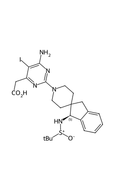 CC(C)(C)[S+]([O-])N[C@@H]1c2ccccc2CC12CCN(c1nc(N)c(I)c(CC(=O)O)n1)CC2